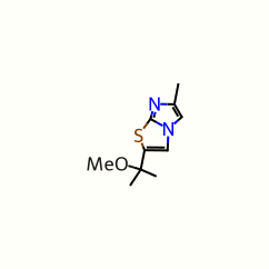 COC(C)(C)c1cn2cc(C)nc2s1